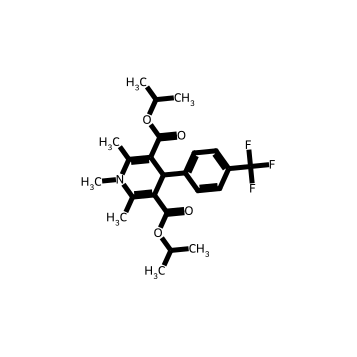 CC1=C(C(=O)OC(C)C)C(c2ccc(C(F)(F)F)cc2)C(C(=O)OC(C)C)=C(C)N1C